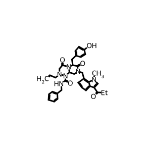 C=CCN1CC(=O)N2C(Cc3ccc(O)cc3)C(=O)N(Cc3cccc4c(C(=O)CC)cn(C)c34)CC2N1C(=O)NCc1ccccc1